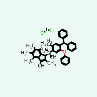 CC1=C(C)C([Si](C)(C)c2[c]c(Oc3ccccc3)c(C(c3ccccc3)c3ccccc3)cc2C)c2c(C)c(C)c(C)c(C)c21.[Cl][Ti][Cl]